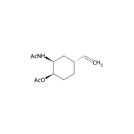 C=C[C@@H]1CC[C@@H](OC(C)=O)[C@@H](NC(C)=O)C1